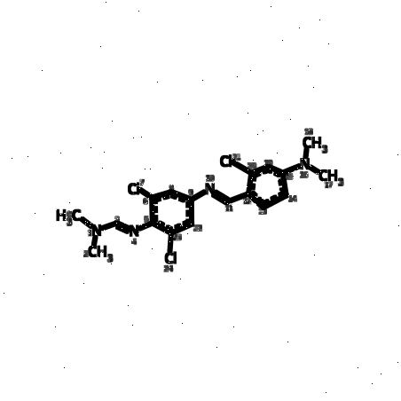 CN(C)C=Nc1c(Cl)cc(N=Cc2ccc(N(C)C)cc2Cl)cc1Cl